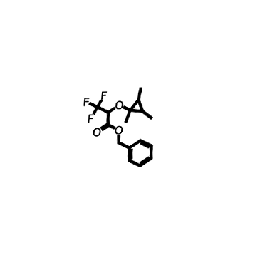 CC1C(C)C1(C)OC(C(=O)OCc1ccccc1)C(F)(F)F